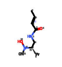 C/C=C/C(=O)NC[C@H](C(C)C)N(O)N=O